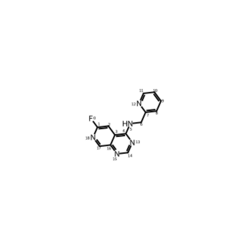 Fc1cc2c(NCc3ccccn3)ncnc2cn1